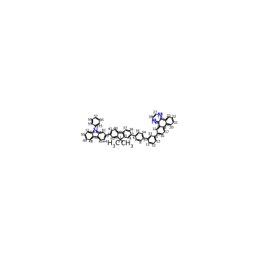 CC1(C)c2cc(-c3ccc(-c4cccc(-c5ccc6c7ccccc7c7nccnc7c6c5)c4)cc3)ccc2-c2ccc(-c3ccc4c5ccccc5n(-c5ccccc5)c4c3)cc21